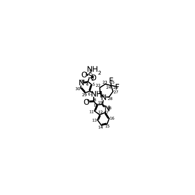 NS(=O)(=O)c1cc(NC(=O)c2cc3ccccc3nc2N2CCCC(F)(F)CC2)ccn1